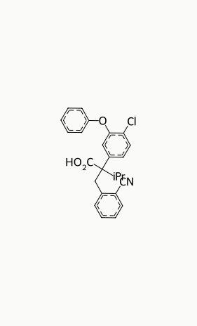 CC(C)C(Cc1ccccc1C#N)(C(=O)O)c1ccc(Cl)c(Oc2ccccc2)c1